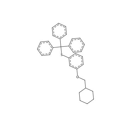 c1ccc(C(Sc2cccc(OCC3CCCCC3)c2)(c2ccccc2)c2ccccc2)cc1